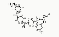 CCOC(=O)[C@@H]1C[C@@]1(c1ccc(Cl)cc1)C1CCN(C(=O)C2CCN(Cc3ccnc(N)c3)CC2)CC1